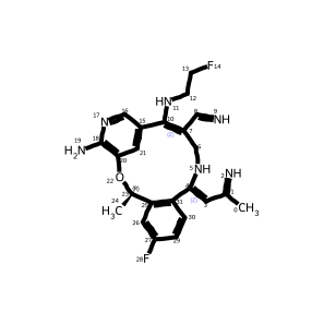 CC(=N)/C=C1\NC/C(C=N)=C(/NCCF)c2cnc(N)c(c2)O[C@H](C)c2cc(F)ccc21